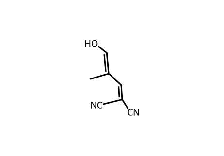 C/C(C=C(C#N)C#N)=C\O